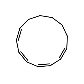 [C]1=CC=CCCCCCC=CC=C1